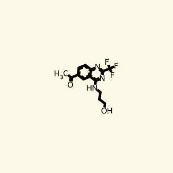 CC(=O)c1ccc2nc(C(F)(F)F)nc(NCCCO)c2c1